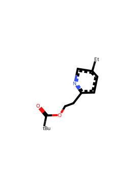 CCc1ccc(CCOC(=O)C(C)(C)C)nc1